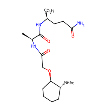 CC(=O)N[C@@H]1CCCC[C@H]1OCC(=O)N[C@@H](C)C(=O)N[C@H](CCC(N)=O)C(=O)O